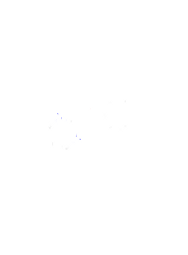 Cc1cnc(Oc2cccc(F)c2)nc1